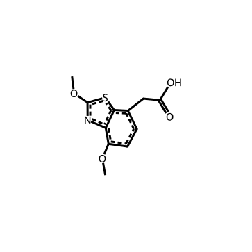 COc1nc2c(OC)ccc(CC(=O)O)c2s1